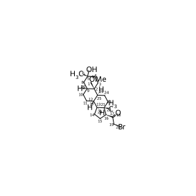 COC[C@]12CC[C@@](C)(O)C[C@H]1CC[C@H]1[C@@H]3CC[C@H](C(=O)CBr)[C@@]3(C)CC[C@@H]12